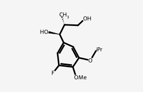 COc1c(F)cc([C@@H](O)[C@H](C)CO)cc1OC(C)C